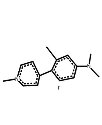 Cc1cc(N(C)C)ccc1-c1cc[n+](C)cc1.[I-]